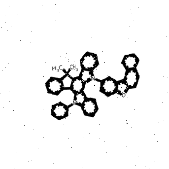 CC1(C)c2ccccc2-c2c1c1c3ccccc3n(-c3ccc4oc5ccc6ccccc6c5c4c3)c1c1c3ccccc3n(-c3ccccc3)c21